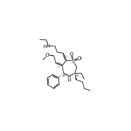 CCCC[C@]1(CC)CS(=O)(=O)C(=C/CCNCC)/C(=C\COC)[C@@H](c2ccccc2)N1